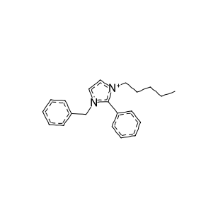 CCCCC[n+]1ccn(Cc2ccccc2)c1-c1ccccc1